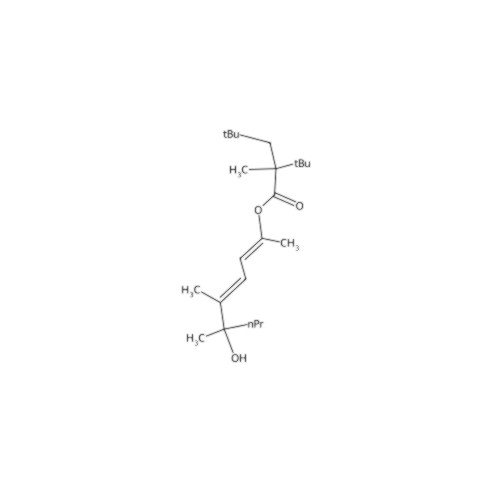 CCCC(C)(O)/C(C)=C/C=C(\C)OC(=O)C(C)(CC(C)(C)C)C(C)(C)C